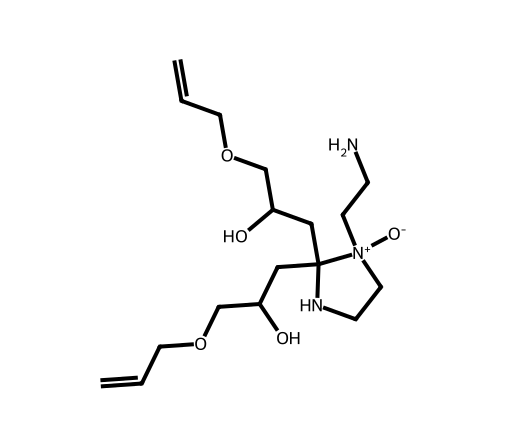 C=CCOCC(O)CC1(CC(O)COCC=C)NCC[N+]1([O-])CCN